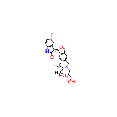 CC(C)N(Cc1ccc2c(c1)CO/C2=C1/C(=O)Nc2ccc(F)cc21)C[C@@H](O)CO